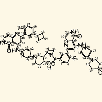 O=C(c1ccc(F)c(-c2cc(Nc3ccc(N4CCC(O)CC4)cn3)c3c(=O)[nH]ccc3n2)c1)N1CCC1C1CN(c2ccc(Nc3cc(-c4cc(C5CCC5)ccc4F)nc4cc[nH]c(=O)c34)nc2)CCC1O